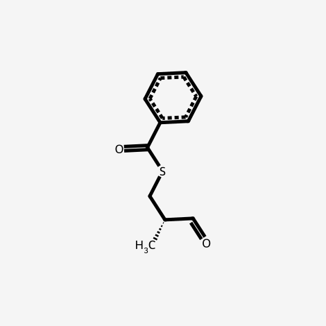 C[C@@H](C=O)CSC(=O)c1ccccc1